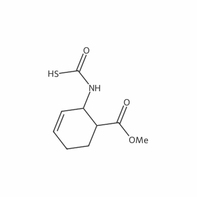 COC(=O)C1CCC=CC1NC(=O)S